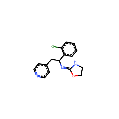 Clc1ccccc1C(Cc1ccncc1)/N=C1\NCCO1